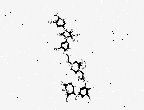 CCc1cc(N2C(=S)N(c3cnc(C#N)c(C(F)(F)F)c3)C(=O)C2(C)C)ccc1OCCN1CCN(CC(=O)Nc2cc(NC3CCC(=O)NC3=O)cc(F)c2F)C(C)(C)C1